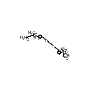 C[C@@H](OCc1ccc(CCCOCCCCCOCCCc2cccc3c2n(C)c(=O)n3C2CCC(=O)NC2=O)cc1)[C@@H](N)CCCC(N)=O